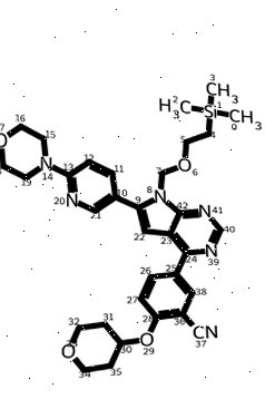 C[Si](C)(C)CCOCn1c(-c2ccc(N3CCOCC3)nc2)cc2c(-c3ccc(OC4CCOCC4)c(C#N)c3)ncnc21